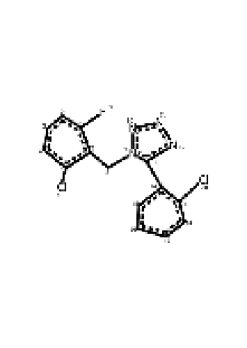 Fc1cccc(Cl)c1Cn1nnnc1-c1ccccc1Cl